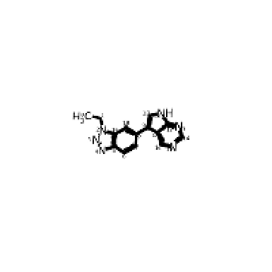 CCn1nnc2ccc(-c3c[nH]c4ncncc34)cc21